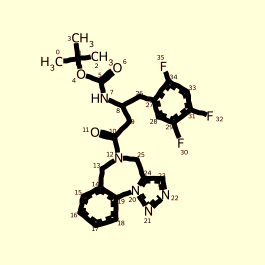 CC(C)(C)OC(=O)NC(CC(=O)N1Cc2ccccc2-n2nncc2C1)Cc1cc(F)c(F)cc1F